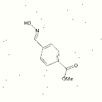 COC(=O)c1ccc(C=NO)cc1